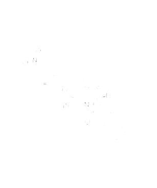 CC1=C(C(=O)OCc2ccc([N+](=O)[O-])cc2)N2C(=O)C(Cc3ccccc3)[C@H]2S1